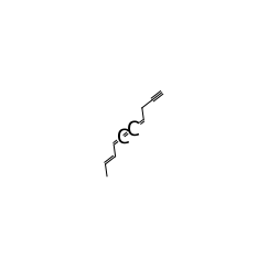 C#CCC=C=C=CC=CC